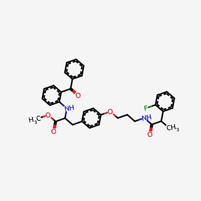 COC(=O)C(Cc1ccc(OCCCNC(=O)C(C)c2ccccc2F)cc1)Nc1ccccc1C(=O)c1ccccc1